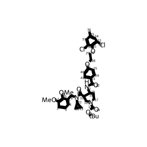 COc1cccc(CN(C(=O)C2CN(C(=O)OC(C)(C)C)CCC2NC(=O)c2ccc(OCCOc3c(Cl)cc(C)cc3Cl)cc2)C2CC2)c1OC